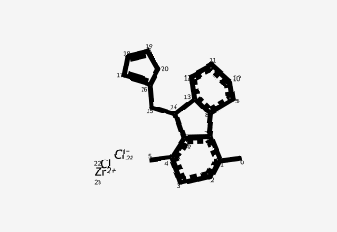 Cc1ccc(C)c2c1-c1ccccc1C2CC1=CC=CC1.[Cl-].[Cl-].[Zr+2]